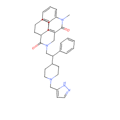 Cn1c(=O)c(CN(CC(c2ccccc2)C2CCN(Cc3ccn[nH]3)CC2)C(=O)C2CCCCC2)cc2ccccc21